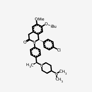 CC[C@@H](C)Oc1cc2c(cc1OC)CC(=O)N(c1ccc([C@H](C)N3CCC(N(C)C)CC3)cc1)[C@H]2c1ccc(Cl)cc1